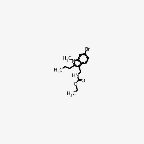 CCCc1c(CNC(=O)OCC)c2ccc(Br)cc2n1C